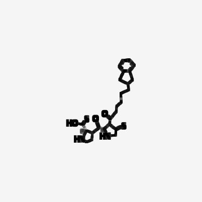 O=C(CCCCCC1Cc2ccccc2C1)C1C(=S)CN[C@@H]1C(=O)C1CCN[C@@H]1C(O)=S